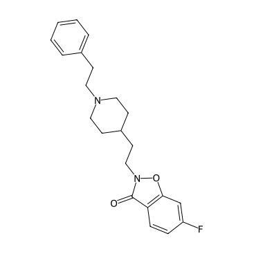 O=c1c2ccc(F)cc2on1CCC1CCN(CCc2ccccc2)CC1